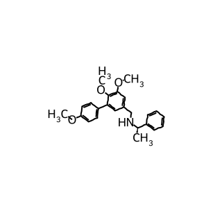 COc1ccc(-c2cc(CN[C@H](C)c3ccccc3)cc(OC)c2OC)cc1